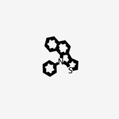 c1ccc(-n2c3sccc3c3ccc4ccccc4c32)cc1